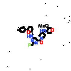 CO[C@H]1COCC[C@H]1NC1CCN(C(=O)c2cc(NC[C@H]3CCC[C@@H](c4ccc(C)cc4)O3)nc(CF)n2)CC1